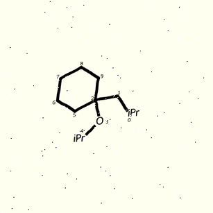 CC(C)CC1(OC(C)C)CCCCC1